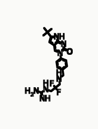 CC(C)(C)c1cc2cn(-c3ccc(CNCC(F)(F)CNC(=N)N)cc3)c(=O)nc2[nH]1